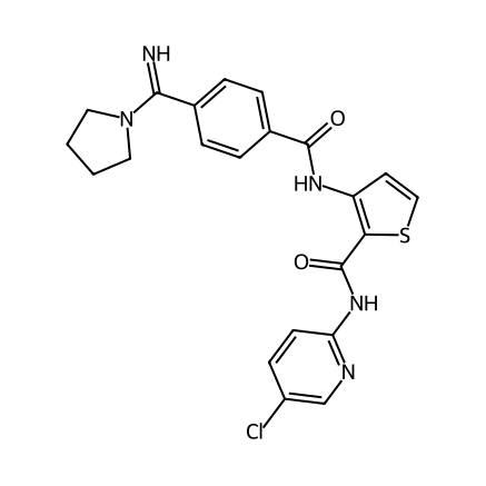 N=C(c1ccc(C(=O)Nc2ccsc2C(=O)Nc2ccc(Cl)cn2)cc1)N1CCCC1